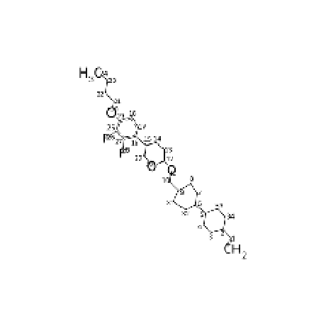 C=CC1CCC(C2CCC(COC3CCC(c4ccc(OCCCC)c(F)c4F)CO3)CC2)CC1